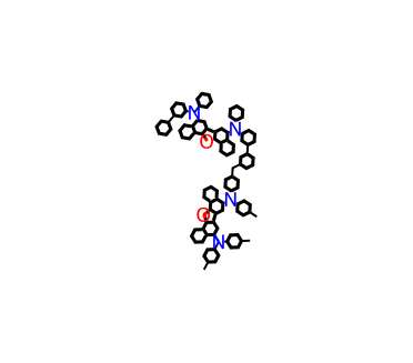 Cc1ccc(N(c2ccc(C)cc2)c2cc3c4cc(N(c5ccc(C)cc5)c5ccc(Cc6cccc(-c7cccc(N(c8ccccc8)c8cc9c%10cc(N(c%11ccccc%11)c%11cccc(-c%12ccccc%12)c%11)c%11ccccc%11c%10oc9c9ccccc89)c7)c6)cc5)c5ccccc5c4oc3c3ccccc23)cc1